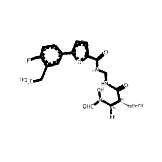 CCCCC[C@@H](C(=O)NCNC(=O)c1ccc(-c2ccc(F)c(CC(=O)O)c2)o1)[C@@H](CC)N(O)C=O